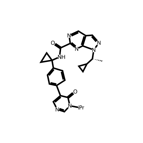 CC(C)n1cncc(-c2ccc(C3(NC(=O)c4ncc5cnn([C@H](C)C6CC6)c5n4)CC3)cc2)c1=O